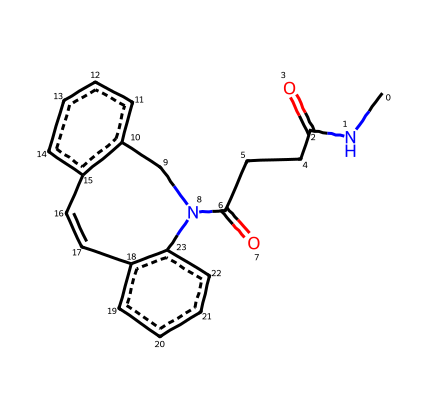 CNC(=O)CCC(=O)N1Cc2ccccc2/C=C\c2ccccc21